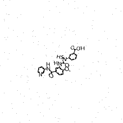 COc1ccc(C(=O)Nc2cccnc2)cc1NC(=O)N(S)c1cccc(C(=O)O)c1